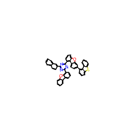 c1ccc2cc(-c3nc(-c4cccc5c4oc4ccccc45)nc(-c4cccc5oc6cc(-c7cccc8sc9ccccc9c78)ccc6c45)n3)ccc2c1